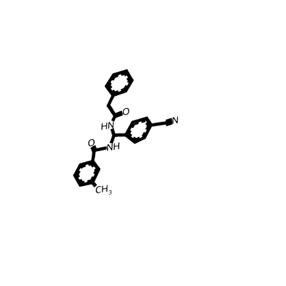 Cc1cccc(C(=O)NC(NC(=O)Cc2ccccc2)c2ccc(C#N)cc2)c1